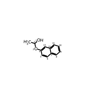 CC(O)Oc1ccc2ccccc2c1